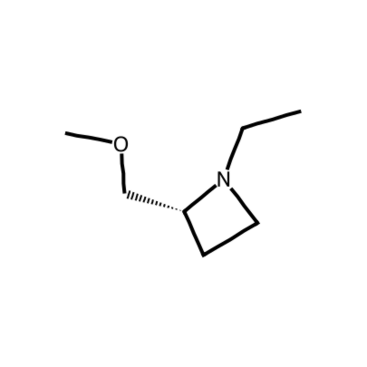 CCN1CC[C@@H]1COC